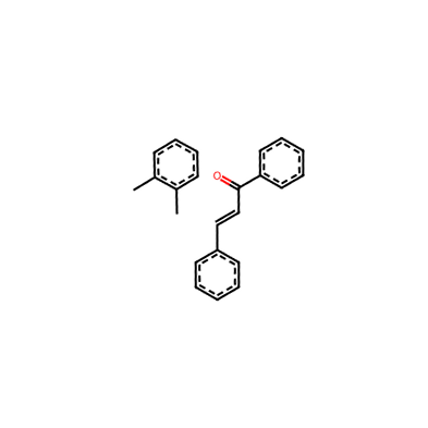 Cc1ccccc1C.O=C(C=Cc1ccccc1)c1ccccc1